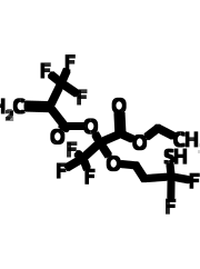 C=C(C(=O)OC(OCCC(F)(F)S)(C(=O)OCC)C(F)(F)F)C(F)(F)F